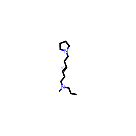 CCCN(C)CC/C=C/CCN1CCCC1